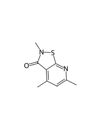 Cc1cc(C)c2c(=O)n(C)sc2n1